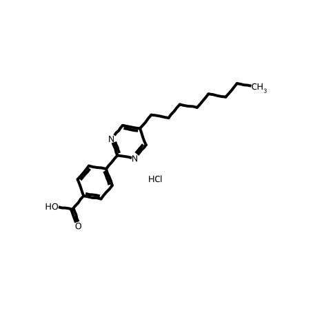 CCCCCCCCc1cnc(-c2ccc(C(=O)O)cc2)nc1.Cl